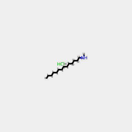 CCCCCCCCCCCCCCNC.Cl